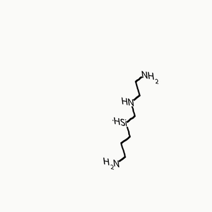 NCCC[SiH]CNCCN